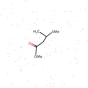 COC(=O)CC(C)SC